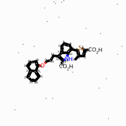 Cc1cc(C(=O)O)sc1-c1cccc2c(CCCOc3cccc4ccccc34)c(C(=O)O)[nH]c12